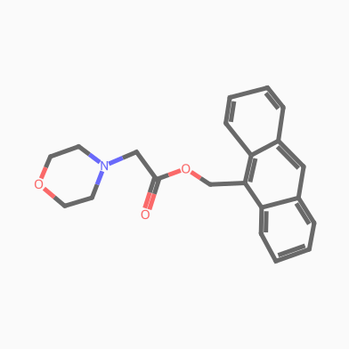 O=C(CN1CCOCC1)OCc1c2ccccc2cc2ccccc12